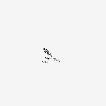 BC#N.[NaH].[NaH]